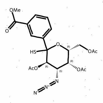 COC(=O)c1cccc(C2(S)O[C@H](COC(C)=O)[C@H](OC(C)=O)[C@H](N=[N+]=[N-])[C@H]2OC(C)=O)c1